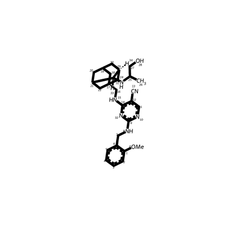 COc1ccccc1CNc1ncc(C#N)c(NC[C@]23CC4CC(C2)[C@@H](NC(C)CO)[C@@H](C4)C3)n1